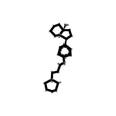 c1cc([C@@H]2CC[C@@H]3CCCCN32)ccc1OCCCN1CCCCC1